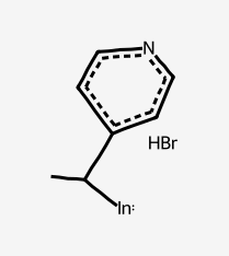 Br.C[CH]([In])c1ccncc1